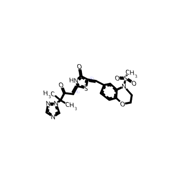 CC(C)(C(=O)/C=c1\[nH]c(=O)/c(=C/c2ccc3c(c2)N(S(C)(=O)=O)CCO3)s1)n1cncn1